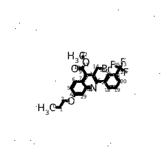 CCCOc1ccc2c(C(=O)OC)c(CBr)c(-c3cccc(C(F)(F)F)c3)nc2c1